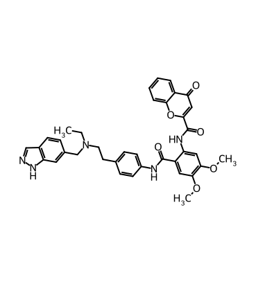 CCN(CCc1ccc(NC(=O)c2cc(OC)c(OC)cc2NC(=O)c2cc(=O)c3ccccc3o2)cc1)Cc1ccc2cn[nH]c2c1